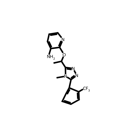 CC(Oc1ncccc1N)c1nnc(-c2ccccc2C(F)(F)F)n1C